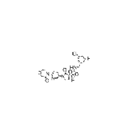 O=C(NCc1cc(F)cc(Cl)c1)OC1(O)CCN(c2ccc(N3CCOCC3=O)nc2)C1=O